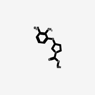 Cc1c(OC2CCN(C(=O)OC(C)(C)C)C2)cccc1[N+](=O)[O-]